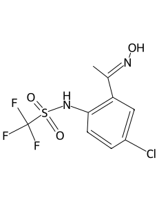 C/C(=N\O)c1cc(Cl)ccc1NS(=O)(=O)C(F)(F)F